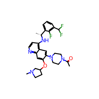 CC(=O)N1CCN(c2cc3c(N[C@H](C)c4cccc(C(F)F)c4F)ccnc3cc2OC2CCN(C)C2)CC1